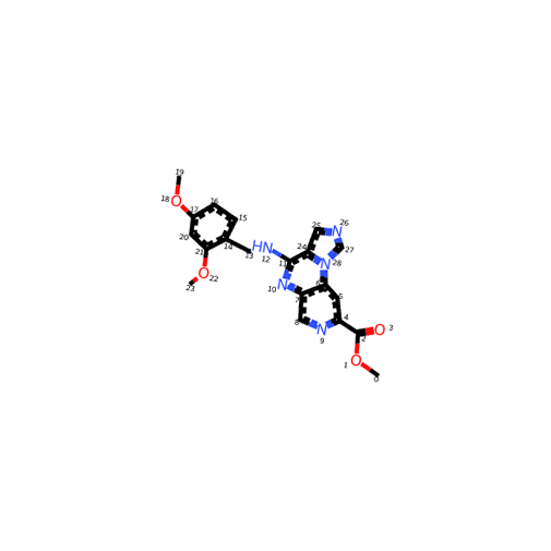 COC(=O)c1cc2c(cn1)nc(NCc1ccc(OC)cc1OC)c1cncn12